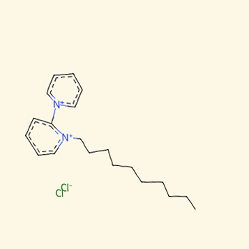 CCCCCCCCCC[n+]1ccccc1-[n+]1ccccc1.[Cl-].[Cl-]